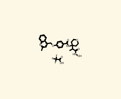 Cc1cc(COc2ccc(C(=O)NC3(C(C)C(=O)NO)CCOCC3)cc2)c2ccccc2n1.O=C(O)C(F)(F)F